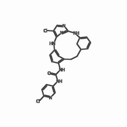 O=C(Nc1ccc(Cl)nc1)Nc1ccc2cc1CCC1C=CC=C(C1)Nc1ncc(Cl)c(n1)N2